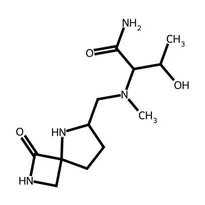 CC(O)C(C(N)=O)N(C)CC1CCC2(CNC2=O)N1